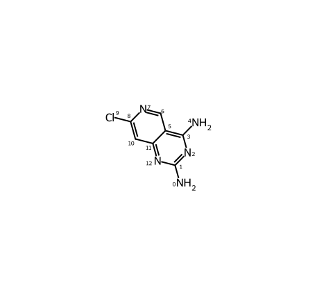 Nc1nc(N)c2cnc(Cl)cc2n1